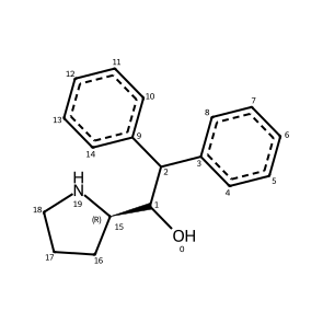 OC(C(c1ccccc1)c1ccccc1)[C@H]1CCCN1